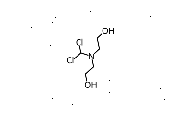 OCCN(CCO)C(Cl)Cl